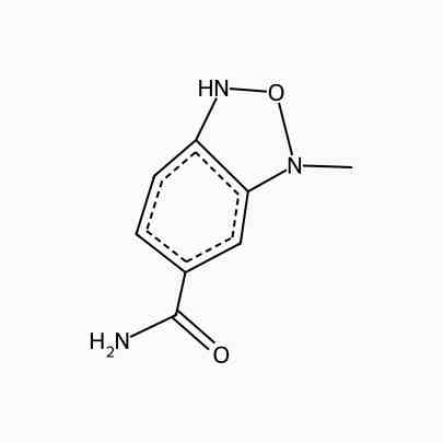 CN1ONc2ccc(C(N)=O)cc21